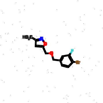 O=C(O)c1cc(COCc2ccc(Br)c(F)c2)on1